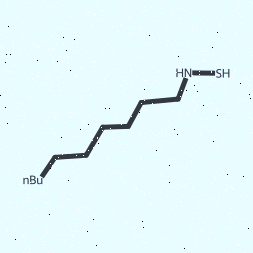 CCCCCCCCCCNS